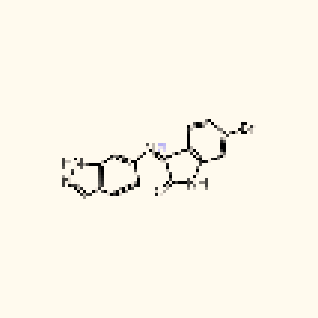 O=C1Nc2cc(Br)ccc2/C1=N/c1ccc2cn[nH]c2c1